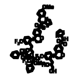 COc1ccc(CN(c2nccs2)S(=O)(=O)c2ccc3c(c2)OCCN3c2ccc(C(F)(F)F)cc2CC(COC(=O)[C@@](OC)(c2ccccc2)C(F)(F)F)OC(=O)[C@@](OC)(c2ccccc2)C(F)(F)F)cc1.O=S(=O)(Nc1nccs1)c1ccc2c(c1)OCCN2c1ccc(C(F)(F)F)cc1C[C@H](O)CO